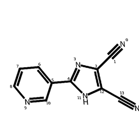 N#Cc1nc(-c2cccnc2)[nH]c1C#N